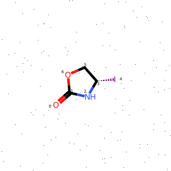 O=C1N[C@@H](I)CO1